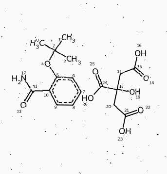 CC(C)(C)Oc1ccccc1C(N)=O.O=C(O)CC(O)(CC(=O)O)C(=O)O